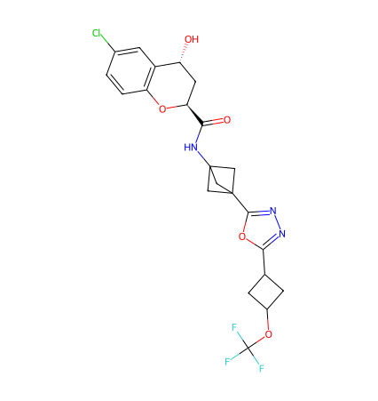 O=C(NC12CC(c3nnc(C4CC(OC(F)(F)F)C4)o3)(C1)C2)[C@@H]1C[C@@H](O)c2cc(Cl)ccc2O1